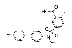 CCN(c1ccc(-c2ccc(C)cc2)cc1)S(=O)(=O)c1ccc(C)c(C(=O)O)c1